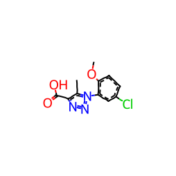 COc1ccc(Cl)cc1-n1nnc(C(=O)O)c1C